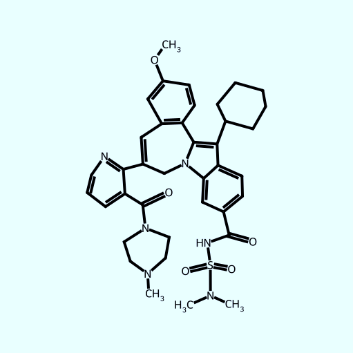 COc1ccc2c(c1)C=C(c1ncccc1C(=O)N1CCN(C)CC1)Cn1c-2c(C2CCCCC2)c2ccc(C(=O)NS(=O)(=O)N(C)C)cc21